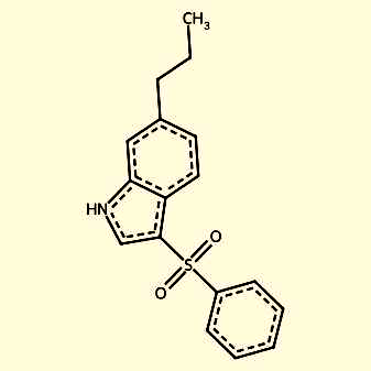 CCCc1ccc2c(S(=O)(=O)c3ccccc3)c[nH]c2c1